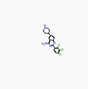 Nc1nc(-c2ccc(Cl)c(Cl)c2F)nc2ccc(C3CCNCC3)cc12